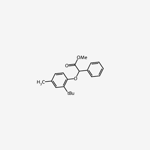 COC(=O)C(Oc1ccc(C)cc1C(C)(C)C)c1ccccc1